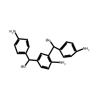 CCC(C)C(c1ccc(N)cc1)c1ccc(N)c(C(c2ccc(N)cc2)C(C)CC)c1